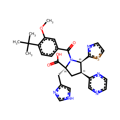 COc1cc(C(=O)N2[C@@H](c3nccs3)[C@@H](c3cnccn3)C[C@@]2(Cc2c[nH]cn2)C(=O)O)ccc1C(C)(C)C